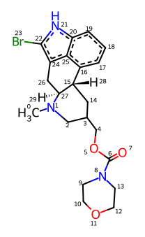 CN1CC(COC(=O)N2CCOCC2)C[C@H]2c3cccc4[nH]c(Br)c(c34)C[C@@H]21